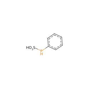 O=S(=O)(O)Pc1ccccc1